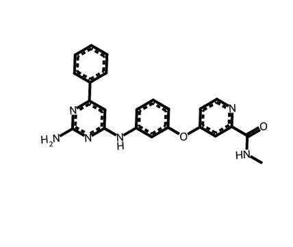 CNC(=O)c1cc(Oc2cccc(Nc3cc(-c4ccccc4)nc(N)n3)c2)ccn1